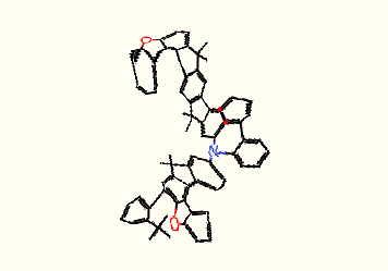 CC(C)(C)c1ccccc1-c1cc2c(c3c1oc1ccccc13)-c1ccc(N(c3ccc4c(c3)C(C)(C)c3cc5c(cc3-4)C(C)(C)c3ccc4oc6ccccc6c4c3-5)c3ccccc3-c3ccccc3)cc1C2(C)C